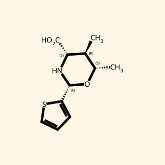 C[C@H]1[C@H](C)O[C@H](c2cccs2)N[C@@H]1C(=O)O